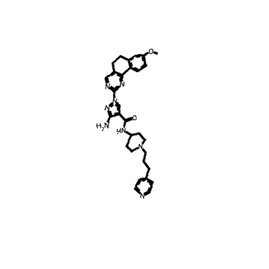 COc1ccc2c(c1)CCc1cnc(-n3cc(C(=O)NC4CCN(CCCc5ccncc5)CC4)c(N)n3)nc1-2